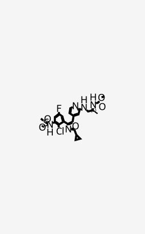 COC(=O)N[C@@H](C)CNc1cc(-c2oc(C3CC3)nc2-c2cc(F)cc(NS(C)(=O)=O)c2Cl)ccn1